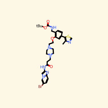 Cc1ncsc1-c1ccc(CNC(=O)OC(C)(C)C)c(OCCN2CCN(CCC(=O)Nc3cn4cc(Br)ccc4n3)CC2)c1